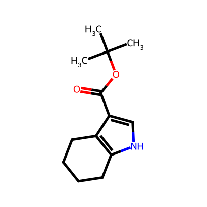 CC(C)(C)OC(=O)c1c[nH]c2c1CCCC2